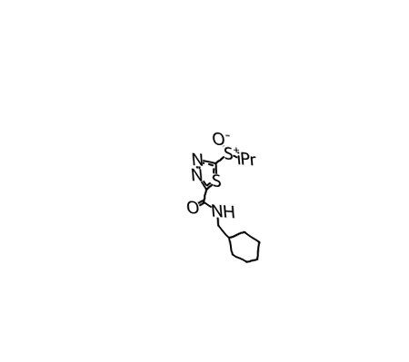 CC(C)[S+]([O-])c1nnc(C(=O)NCC2CCCCC2)s1